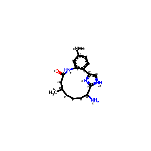 CNc1ccc2c(c1)NC(=O)CC(C)CCCC(N)c1nc-2c[nH]1